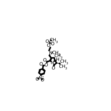 CC(C)[C@H]1C(=O)N2C(C(=O)OC(=O)c3ccc([N+](=O)[O-])cc3)=C(CN(C)CCOS(C)(=O)=O)[C@H](C)[C@H]12